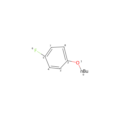 CCCCOc1[c]cc(F)cc1